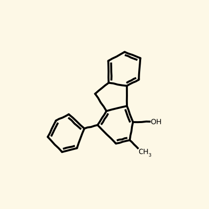 Cc1cc(-c2ccccc2)c2c(c1O)-c1ccccc1C2